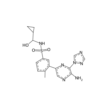 Cc1ccc(S(=O)(=O)NC(O)C2CC2)cc1-c1cnc(N)c(-n2cncn2)n1